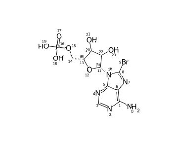 Nc1ncnc2c1nc(Br)n2[C@@H]1O[C@H](COP(=O)(O)O)C(O)C1O